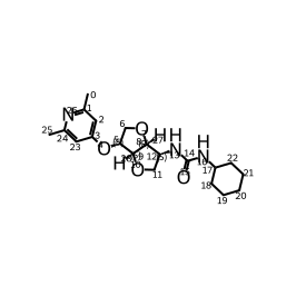 Cc1cc(O[C@H]2CO[C@H]3[C@@H]2OC[C@@H]3NC(=O)NC2CCCCC2)cc(C)n1